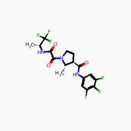 C[C@H]1[C@H](C(=O)Nc2cc(F)c(F)c(F)c2)CCN1C(=O)C(=O)N[C@H](C)C(F)(F)F